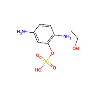 CCO.Nc1ccc(N)c(OS(=O)(=O)O)c1